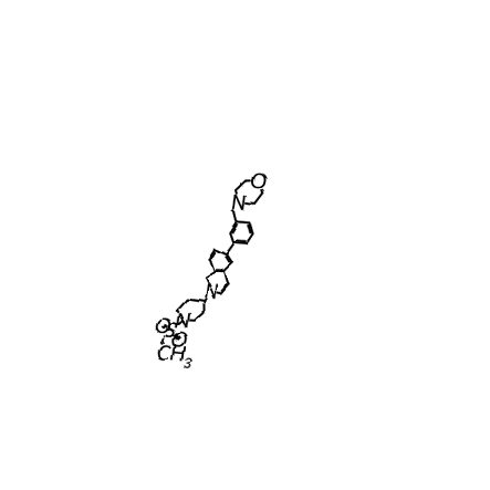 CCS(=O)(=O)N1CCC(N2C=Cc3cc(-c4cccc(CN5CCOCC5)c4)ccc3C2)CC1